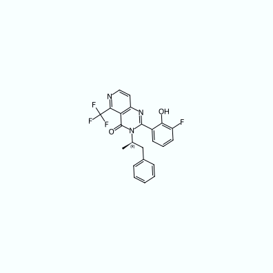 C[C@H](Cc1ccccc1)n1c(-c2cccc(F)c2O)nc2ccnc(C(F)(F)F)c2c1=O